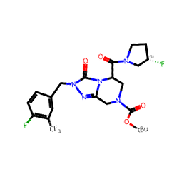 CC(C)(C)OC(=O)N1Cc2nn(Cc3ccc(F)c(C(F)(F)F)c3)c(=O)n2C(C(=O)N2CC[C@H](F)C2)C1